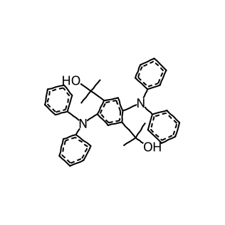 CC(C)(O)c1cc(N(c2ccccc2)c2ccccc2)c(C(C)(C)O)cc1N(c1ccccc1)c1ccccc1